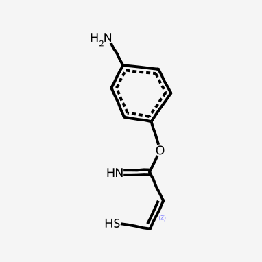 N=C(/C=C\S)Oc1ccc(N)cc1